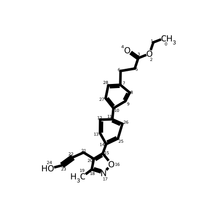 CCOC(=O)CCc1ccc(-c2ccc(-c3onc(C)c3CC#CO)cc2)cc1